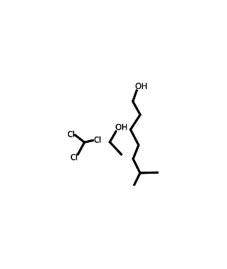 CC(C)CCCCCO.CCO.ClC(Cl)Cl